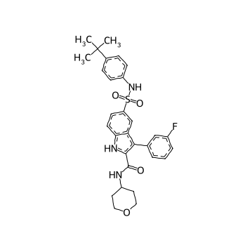 CC(C)(C)c1ccc(NS(=O)(=O)c2ccc3[nH]c(C(=O)NC4CCOCC4)c(-c4cccc(F)c4)c3c2)cc1